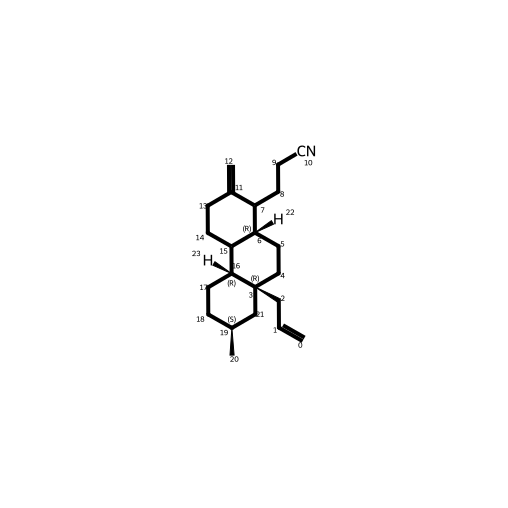 C=CC[C@]12CC[C@H]3C(CCC#N)C(=C)CCC3[C@H]1CC[C@H](C)C2